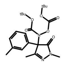 CC1=NN(C)C(=O)C1(c1cccc(C)c1)N(OC(=O)OC(C)(C)C)C(=O)OC(C)(C)C